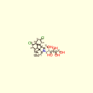 CC(C)(C)C[C@@H]1N(CC[C@@H](O)[C@H](O)[C@H](O)CO)[C@@H](CO)[C@H](c2cccc(Cl)c2)[C@@]1(C#N)c1ccc(Cl)cc1